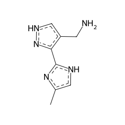 Cc1c[nH]c(-c2n[nH]cc2CN)n1